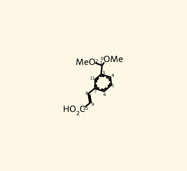 COC(OC)c1cccc(/C=C/C(=O)O)c1